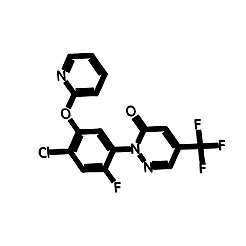 O=c1cc(C(F)(F)F)cnn1-c1cc(Oc2ccccn2)c(Cl)cc1F